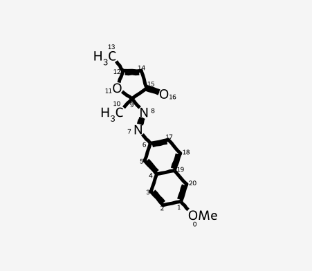 COc1ccc2cc(/N=N/C3(C)OC(C)=CC3=O)ccc2c1